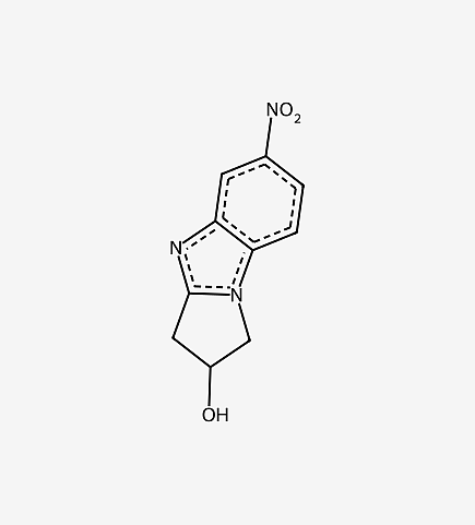 O=[N+]([O-])c1ccc2c(c1)nc1n2CC(O)C1